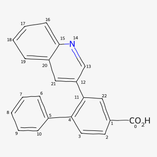 O=C(O)c1ccc(-c2ccccc2)c(-c2cnc3ccccc3c2)c1